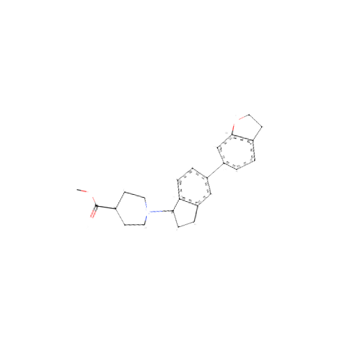 COC(=O)C1CCN(C2CCc3cc(-c4ccc5c(c4)OCC5)ccc32)CC1